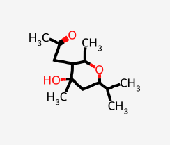 CC(=O)CC1C(C)OC(C(C)C)CC1(C)O